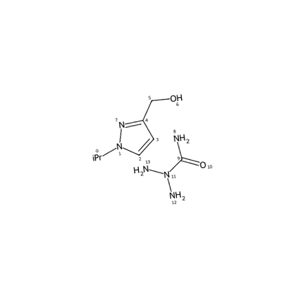 CC(C)n1ccc(CO)n1.NC(=O)N(N)N